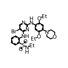 CCNS(=O)(=O)c1ccccc1Nc1nc(Nc2cc(OCC)c(N3CCOCC3)cc2OCC)ncc1Br